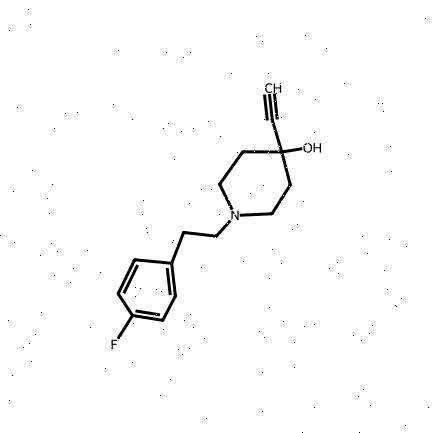 C#CC1(O)CCN(CCc2ccc(F)cc2)CC1